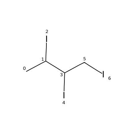 CC(I)C(I)CI